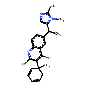 Cc1ncc(C(C)c2ccc3nc(Cl)c(C4(C)C=CC=CC4)c(Cl)c3c2)n1C